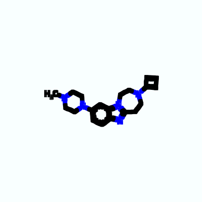 CN1CCN(c2ccc3nc4n(c3c2)CCN(C2=CC=C2)CC4)CC1